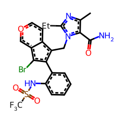 CCc1nc(C)c(C(N)=O)n1Cc1c2ccocc-2c(Br)c1-c1ccccc1NS(=O)(=O)C(F)(F)F